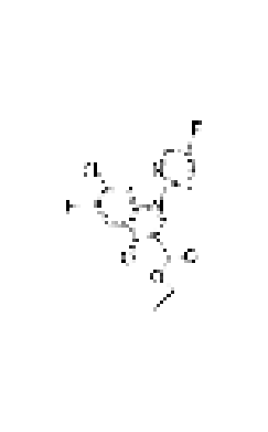 CCOC(=O)c1cn(-c2ccc(F)cn2)c2cc(Cl)c(F)cc2c1=O